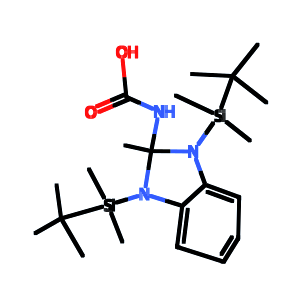 CC1(NC(=O)O)N([Si](C)(C)C(C)(C)C)c2ccccc2N1[Si](C)(C)C(C)(C)C